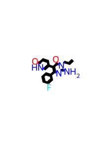 C=CCn1c(N)nc(-c2cccc(F)c2)c(-c2ccc(=O)[nH]c2)c1=O